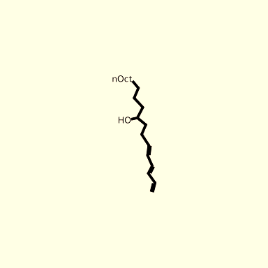 C=CC=CC=CCCC(O)CCCCCCCCCCC